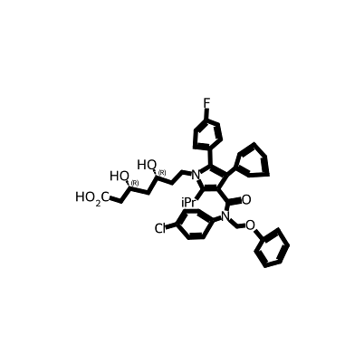 CC(C)c1c(C(=O)N(COc2ccccc2)c2ccc(Cl)cc2)c(-c2ccccc2)c(-c2ccc(F)cc2)n1CC[C@@H](O)C[C@@H](O)CC(=O)O